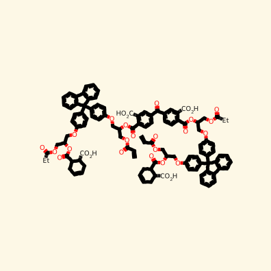 C=CC(=O)OCC(COc1ccc(C2(c3ccc(OCC(COC(=O)CC)OC(=O)C4CC=CCC4C(=O)O)cc3)c3ccccc3-c3ccccc32)cc1)OC(=O)c1ccc(C(=O)c2ccc(C(=O)OC(COC(=O)CC)COc3ccc(C4(c5ccc(OCC(COC(=O)C=C)OC(=O)C6CC=CCC6C(=O)O)cc5)c5ccccc5-c5ccccc54)cc3)c(C(=O)O)c2)cc1C(=O)O